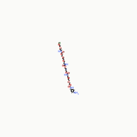 Nc1ccc(CNC(=O)OCCOCCOCCNC(=O)OC/C=C/COC(=O)NCCOCCOCCOC(=O)NCCOCCOCl)cc1